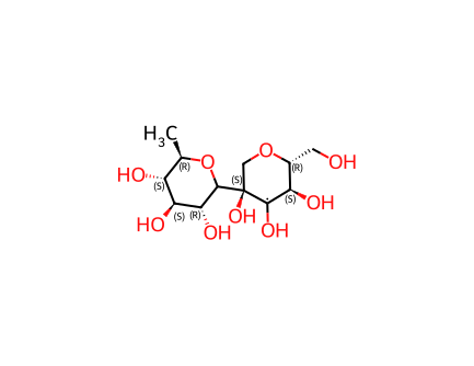 C[C@H]1OC([C@]2(O)CO[C@H](CO)[C@@H](O)[C]2O)[C@H](O)[C@@H](O)[C@@H]1O